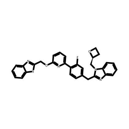 Fc1cc(Cc2nc3ccccc3n2C[C@@H]2CCO2)ccc1-c1cccc(OCc2nc3ccccc3s2)n1